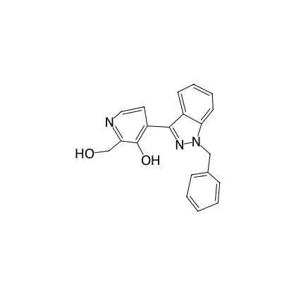 OCc1nccc(-c2nn(Cc3ccccc3)c3ccccc23)c1O